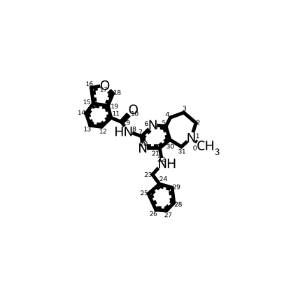 CN1CCCc2nc(NC(=O)c3cccc4cocc34)nc(NCc3ccccc3)c2C1